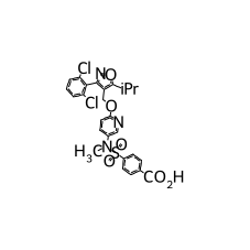 CC(C)c1onc(-c2c(Cl)cccc2Cl)c1COc1ccc(N(C)S(=O)(=O)c2ccc(C(=O)O)cc2)cn1